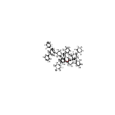 c1ccc(-c2cc(N3c4ccccc4N(c4ccc(-c5nc(-c6ccccc6)nc(-c6ccccc6)n5)cc4-c4nc(-c5ccccc5)cc(-c5ccccc5)n4)c4ccccc43)nc(-c3ccccc3)n2)cc1